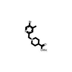 COC(=O)C1CCN(Cc2cc(C)c(Br)cn2)CC1